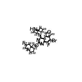 Fc1c(Br)c2c(c3c(N4C5CCC56NCC46)nc(OC[C@@]45CCCN4CC(F)C5)nc13)COC2